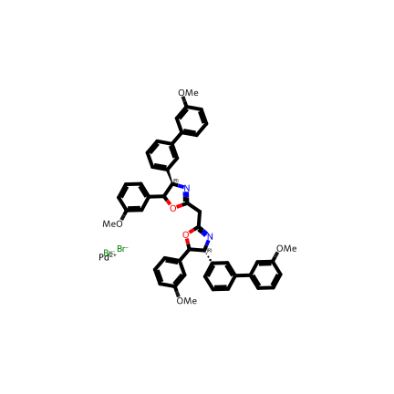 COc1cccc(-c2cccc([C@H]3N=C(CC4=N[C@H](c5cccc(-c6cccc(OC)c6)c5)C(c5cccc(OC)c5)O4)OC3c3cccc(OC)c3)c2)c1.[Br-].[Br-].[Pd+2]